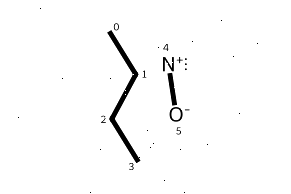 CCCC.[N+][O-]